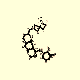 CN1CCC12CN(CC1COc3cc4ncnc(Nc5cccc(Br)c5F)c4cc3O1)C2